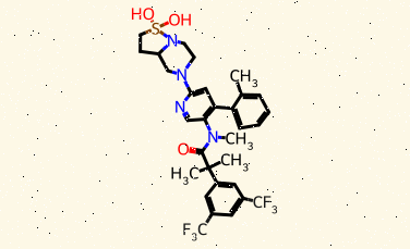 Cc1ccccc1-c1cc(N2CCN3C(CCS3(O)O)C2)ncc1N(C)C(=O)C(C)(C)c1cc(C(F)(F)F)cc(C(F)(F)F)c1